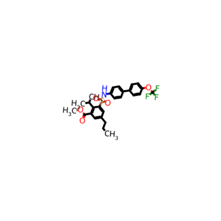 CCCc1cc(C(=O)OC)c(C(C)C)c(S(=O)(=O)Nc2ccc(-c3ccc(OC(F)(F)F)cc3)cc2)c1